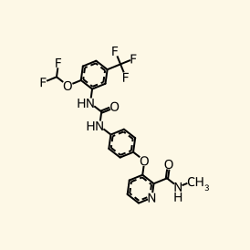 CNC(=O)c1ncccc1Oc1ccc(NC(=O)Nc2cc(C(F)(F)F)ccc2OC(F)F)cc1